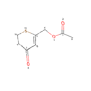 CC(=O)OCC1=CC(=O)CCS1